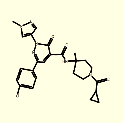 Cn1cc(-n2nc(-c3ccc(Cl)cc3)cc(C(=O)NC3(C)CCN(C(=O)C4CC4)CC3)c2=O)cn1